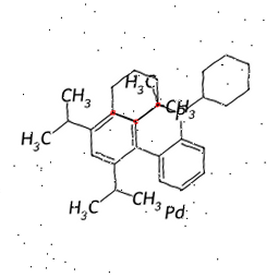 CC(C)c1cc(C(C)C)c(-c2ccccc2P(C2CCCCC2)C2CCCCC2)c(C(C)C)c1.[Pd]